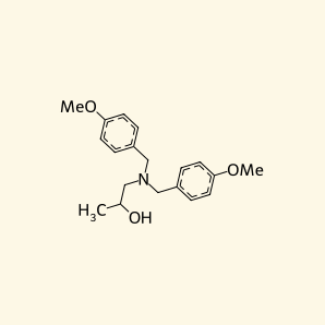 COc1ccc(CN(Cc2ccc(OC)cc2)CC(C)O)cc1